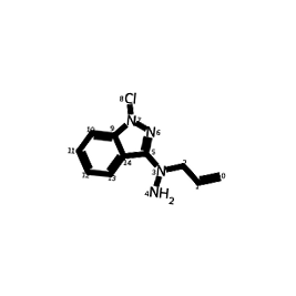 C=CCN(N)c1nn(Cl)c2ccccc12